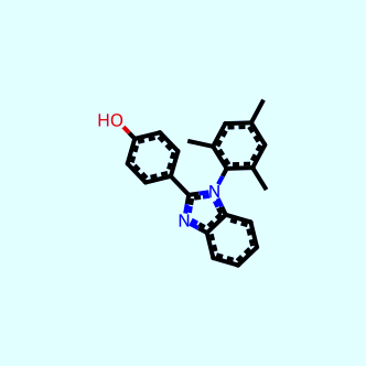 Cc1cc(C)c(-n2c(-c3ccc(O)cc3)nc3ccccc32)c(C)c1